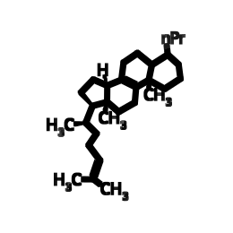 CCCC1CCC[C@]2(C)C3=C(CCC12)[C@@H]1CC[C@H]([C@H](C)CCC=C(C)C)[C@@]1(C)CC3